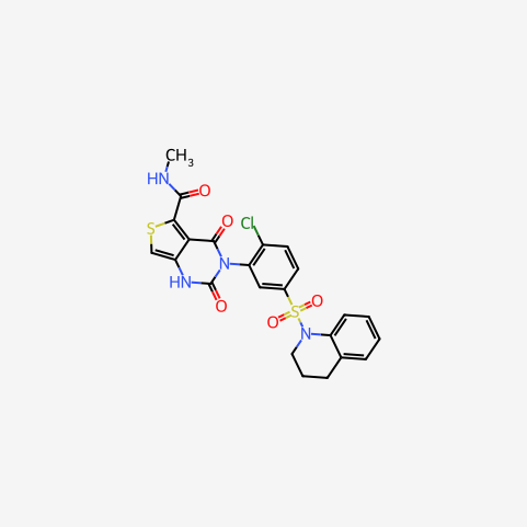 CNC(=O)c1scc2[nH]c(=O)n(-c3cc(S(=O)(=O)N4CCCc5ccccc54)ccc3Cl)c(=O)c12